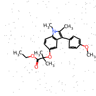 CCOC(=O)C(C)(C)Oc1ccc2c(c1)c(-c1ccc(OC)cc1)c(C)n2C